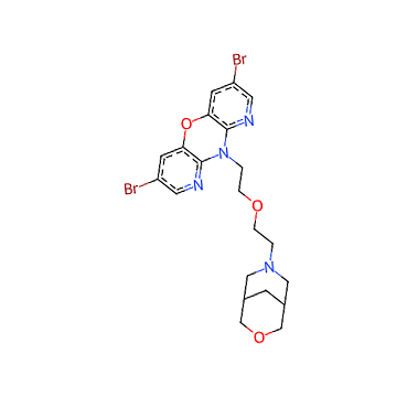 Brc1cnc2c(c1)Oc1cc(Br)cnc1N2CCOCCN1CC2COCC(C2)C1